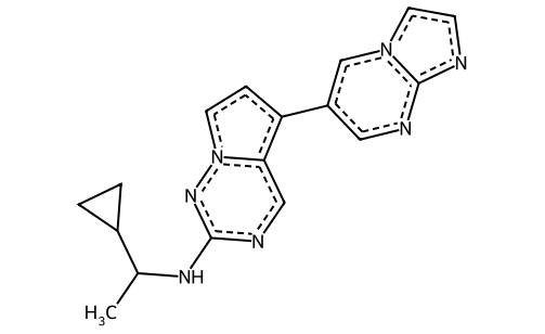 CC(Nc1ncc2c(-c3cnc4nccn4c3)ccn2n1)C1CC1